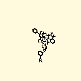 C[C@@H](Cn1c(=O)c(N2CCN(Cc3cccc(C#N)c3)CC2)cn(Cc2c(F)cccc2C(F)(F)F)c1=O)c1ccccc1